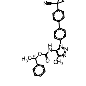 Cc1nnn(-c2ccc(-c3ccc(C4(C#N)CC4)cc3)cc2)c1NC(=O)O[C@H](C)c1ccccc1